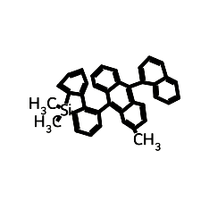 Cc1ccc2c(-c3cccc4ccccc34)c3ccccc3c(-c3cccc4c3-c3ccccc3[Si]4(C)C)c2c1